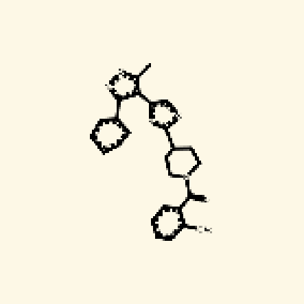 CC(=O)Oc1ccccc1C(=O)N1CCC(c2nc(-c3c(-c4ccccc4)noc3C)cs2)CC1